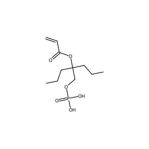 C=CC(=O)OC(CCC)(CCC)COP(=O)(O)O